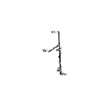 CCCCCCCC/C=C\CCCCCCCCOCC(COC(=O)NCCOCCOCCCC(=O)CNCCOC(=O)CNCCOC)OCCCCCCCC/C=C\CCCCCCCC